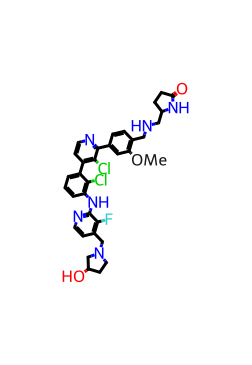 COc1cc(-c2nccc(-c3cccc(Nc4nccc(CN5CCC(O)C5)c4F)c3Cl)c2Cl)ccc1CNCC1CCC(=O)N1